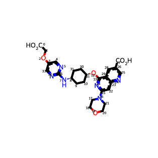 O=C(O)COc1cnc(N[C@H]2CC[C@@H](Oc3nc(N4CCOCC4)cc4ncc(C(=O)O)cc34)CC2)nc1